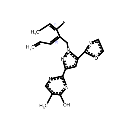 C=C/C=C(Cn1nc(-c2ncc(C)c(O)n2)cc1-c1ncco1)\C(F)=C/C